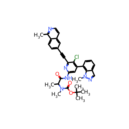 Cc1nccc2cc(C#Cc3nc(NC(=O)C(C)N(C)C(=O)OC(C)(C)C)cc(-c4cccc5cnn(C)c45)c3Cl)ccc12